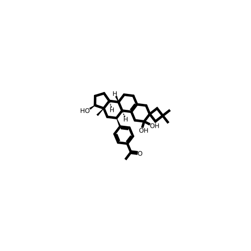 CC(=O)c1ccc([C@H]2C[C@]3(C)[C@@H](O)CC[C@H]3[C@@H]3CCC4=C(CC(O)(O)C5(C4)CC(C)(C)C5)[C@H]32)cc1